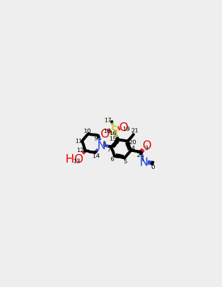 C=NC(=O)c1ccc(N2CCCC(O)C2)c(S(C)(=O)=O)c1C